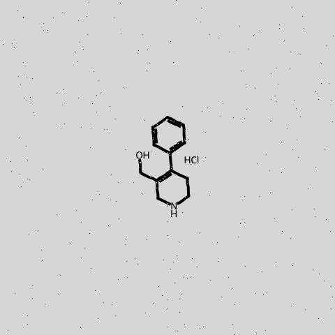 Cl.OCC1=C(c2ccccc2)CCNC1